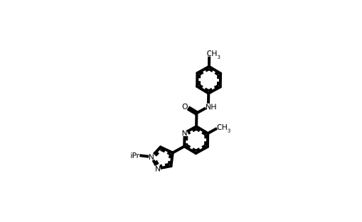 Cc1ccc(NC(=O)c2nc(-c3cnn(C(C)C)c3)ccc2C)cc1